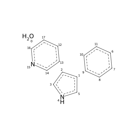 O.c1cc[nH]c1.c1ccccc1.c1ccncc1